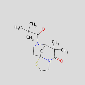 CC(C)(C)C(=O)N1CCC23CC1C(C)(C)C(=O)N2CCS3